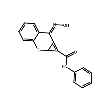 O=C(Nc1ccccc1)C1=C2C(=NO)c3ccccc3OC12